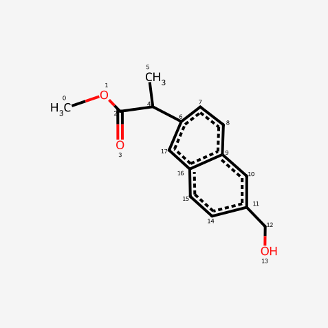 COC(=O)C(C)c1ccc2cc(CO)ccc2c1